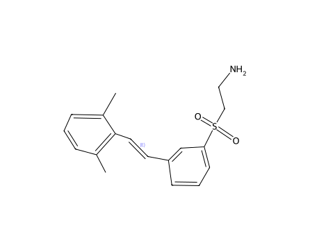 Cc1cccc(C)c1/C=C/c1cccc(S(=O)(=O)CCN)c1